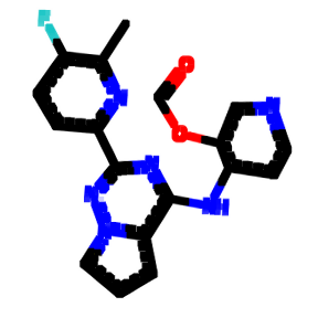 Cc1nc(-c2nc(Nc3ccncc3OC=O)c3cccn3n2)ccc1F